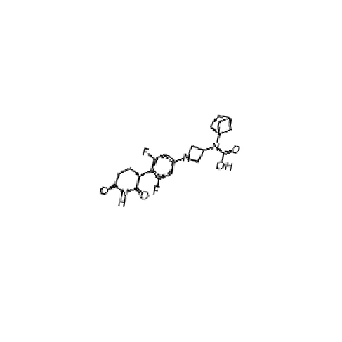 O=C1CCC(c2c(F)cc(N3CC(N(C(=O)O)C45CCC(C4)C5)C3)cc2F)C(=O)N1